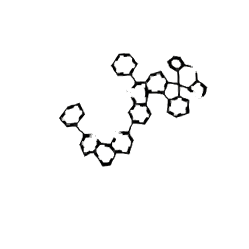 c1ccc(-c2ccc3ccc4ccc(-c5ccc6c(c5)nc(-c5ccccc5)c5ccc7c(c56)-c5ccccc5C75c6ccccc6Oc6ccccc65)nc4c3n2)cc1